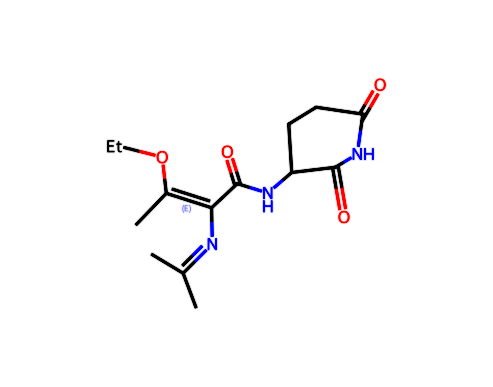 CCO/C(C)=C(/N=C(C)C)C(=O)NC1CCC(=O)NC1=O